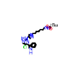 CC(C)(C)C(=O)ONCCCCCCCn1cc(Nc2ncc(Cl)c(-c3c[nH]c4ccccc34)n2)cn1